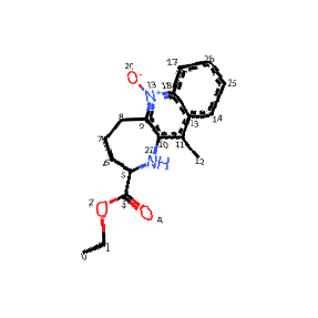 CCOC(=O)C1CCCc2c(c(C)c3ccccc3[n+]2[O-])N1